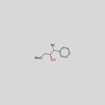 [C-]#[N+]C(c1ccccc1)[C@@H](O)COC